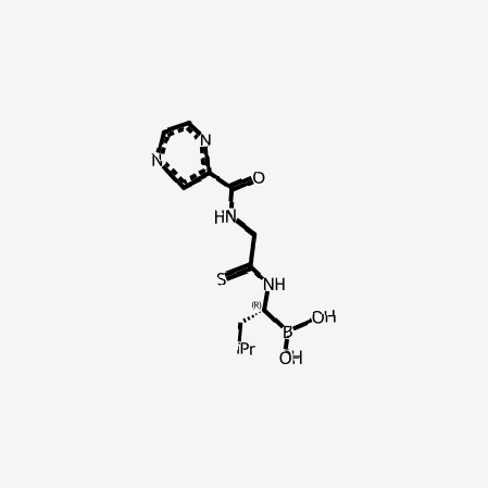 CC(C)C[C@H](NC(=S)CNC(=O)c1cnccn1)B(O)O